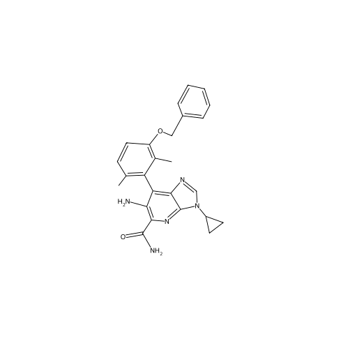 Cc1ccc(OCc2ccccc2)c(C)c1-c1c(N)c(C(N)=O)nc2c1ncn2C1CC1